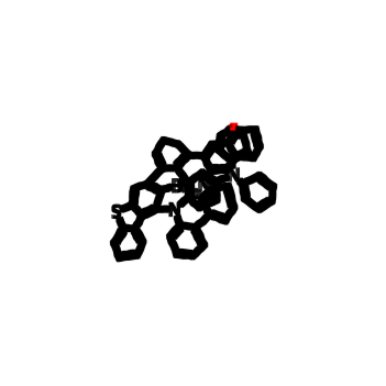 Bc1c2cc3sc4ccccc4c3c1N(c1ccccc1-c1ccccc1)c1ccc(N(c3ccccc3)c3ccccc3)cc1C1=C(c3cc4ccccc4cc3N)CCC=C12